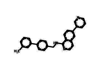 Cc1cccc(-c2ccc(CNc3nccc4cc(-c5cccnc5)ccc34)cc2)c1